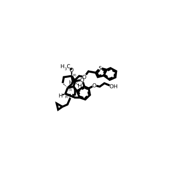 CO[C@]12CC[C@@]3(C[C@@H]1COCc1cc4ccccc4s1)[C@H]1Cc4ccc(OCCO)c5c4[C@@]3(CCN1CC1CC1)[C@H]2O5